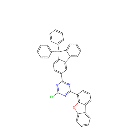 Clc1nc(-c2ccc3c(c2)-c2ccccc2C3(c2ccccc2)c2ccccc2)nc(-c2cccc3c2oc2ccccc23)n1